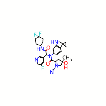 CC1(O)CC(C(=O)N(c2ccc3c(c2)NCC32CC2)C(C(=O)NC2CCC(F)(F)CC2)c2cncc(F)c2)N(C#N)C1